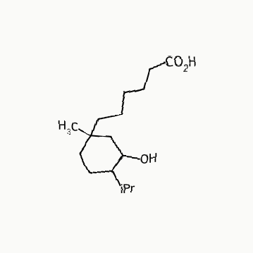 CC(C)C1CCC(C)(CCCCCC(=O)O)CC1O